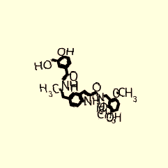 COc1ccc(O)c(OC)c1CNC(=O)c1cc2cc(C[C@@H](C)NC[C@@H](O)c3ccc(O)c(CO)c3)ccc2[nH]1